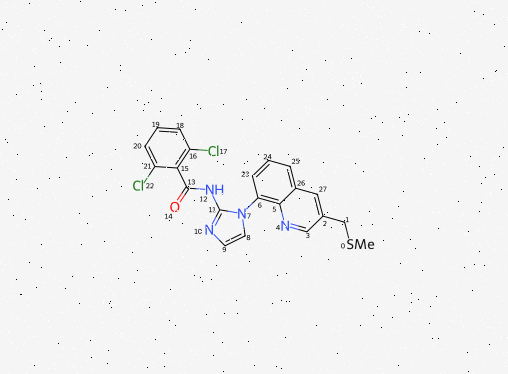 CSCc1cnc2c(-n3ccnc3NC(=O)c3c(Cl)cccc3Cl)cccc2c1